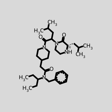 CCC(CC)N(Cc1ccccc1)C(=O)CC1CCN(C(=O)C(CC(C)C)N2CCN[C@@H](CC(C)C)C2=O)CC1